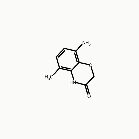 Cc1ccc(N)c2c1NC(=O)CO2